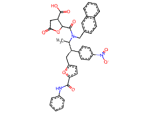 CC(C(Cc1ccc(C(=O)Nc2ccccc2)o1)c1ccc([N+](=O)[O-])cc1)N(Cc1ccc2ccccc2c1)C(=O)C1OC(=O)CC1C(=O)O